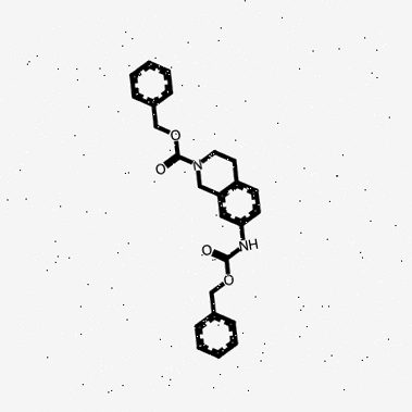 O=C(Nc1ccc2c(c1)CN(C(=O)OCc1ccccc1)CC2)OCc1ccccc1